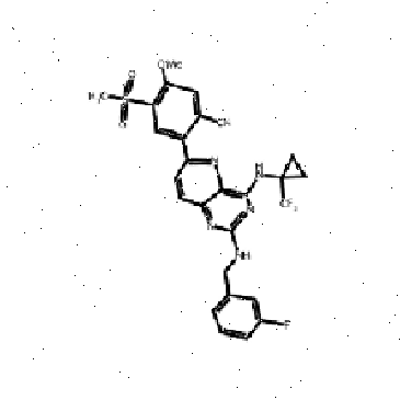 COc1cc(C#N)c(-c2ccc3nc(NCc4cccc(F)c4)nc(NC4(C(F)(F)F)CC4)c3n2)cc1S(C)(=O)=O